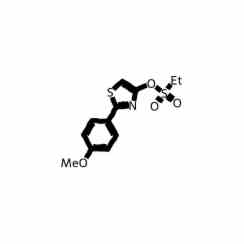 CCS(=O)(=O)Oc1csc(-c2ccc(OC)cc2)n1